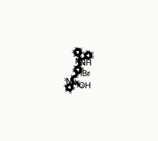 Br.CN1c2ccccc2N(CCO)C1/C=C/c1ccc(-c2nc(-c3ccccc3)c(-c3ccccc3)[nH]2)cc1